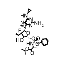 C=C[C@@]1(F)[C@H](O)[C@@H](COP(=O)(N[C@H](C)C(=O)OC(C)C)Oc2ccccc2)O[C@H]1n1cnc2c(NC3CC3)nc(N)nc21